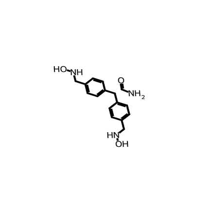 NC=O.ONCc1ccc(Cc2ccc(CNO)cc2)cc1